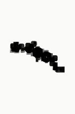 O=C(OCCO)N1CC=C(c2ccc(N3C[C@H](COc4ccon4)OC3=O)cc2F)CC1